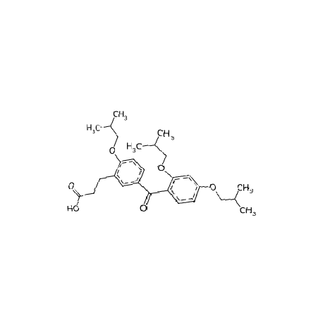 CC(C)COc1ccc(C(=O)c2ccc(OCC(C)C)c(CCC(=O)O)c2)c(OCC(C)C)c1